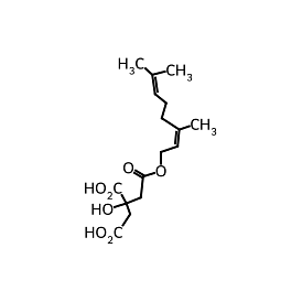 CC(C)=CCC/C(C)=C\COC(=O)CC(O)(CC(=O)O)C(=O)O